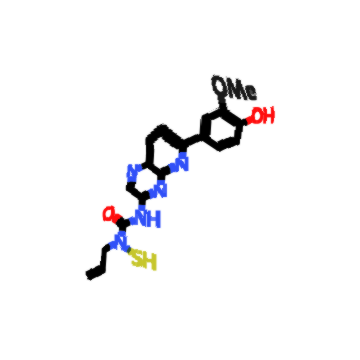 C=CCN(S)C(=O)Nc1cnc2ccc(-c3ccc(O)c(OC)c3)nc2n1